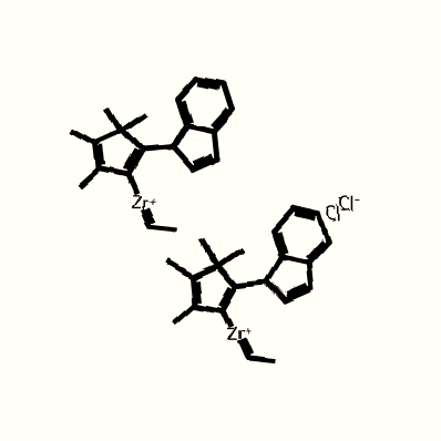 C[CH]=[Zr+][C]1=C(C2C=Cc3ccccc32)C(C)(C)C(C)=C1C.C[CH]=[Zr+][C]1=C(C2C=Cc3ccccc32)C(C)(C)C(C)=C1C.[Cl-].[Cl-]